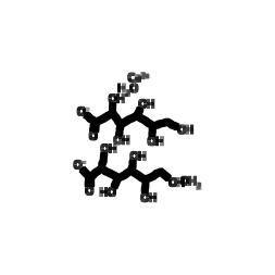 O.O.O=C([O-])C(O)C(O)C(O)C(O)CO.O=C([O-])C(O)C(O)C(O)C(O)CO.[Ca+2]